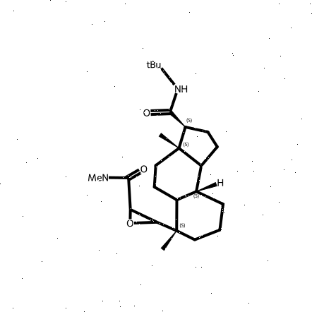 CNC(=O)C1OC1[C@@]1(C)CCC[C@@H]2C1CC[C@@]1(C)C2CC[C@@H]1C(=O)NC(C)(C)C